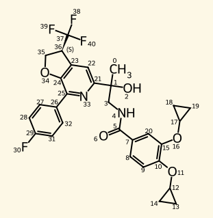 CC(O)(CNC(=O)c1ccc(OC2CC2)c(OC2CC2)c1)c1cc2c(c(-c3ccc(F)cc3)n1)OC[C@H]2C(F)(F)F